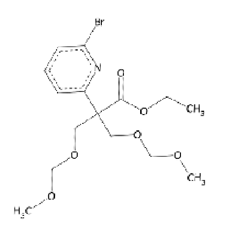 CCOC(=O)C(COCOC)(COCOC)c1cccc(Br)n1